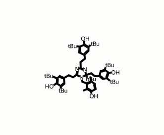 CCCCC1(CCc2cc(C(C)(C)C)c(O)c(C(C)(C)C)c2)N=C(CCc2cc(C(C)(C)C)c(O)c(C(C)(C)C)c2)N=C(CCc2cc(C(C)(C)C)c(O)c(C(C)(C)C)c2)N1Cc1c(C)ccc(O)c1C